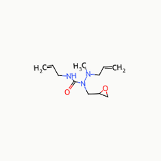 C=CCNC(=O)N(CC1CO1)N(C)CC=C